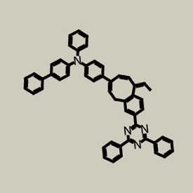 C/C=C1/C=C\C(c2ccc(N(c3ccccc3)c3ccc(-c4ccccc4)cc3)cc2)=C/Cc2cc(-c3nc(-c4ccccc4)nc(-c4ccccc4)n3)ccc21